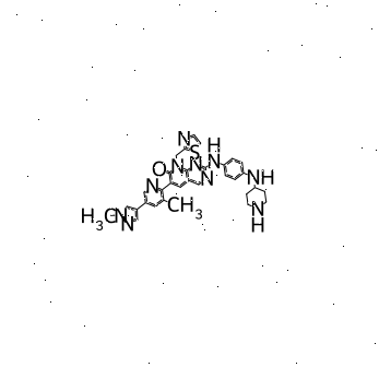 Cc1cc(-c2cnn(C)c2)cnc1-c1cc2cnc(Nc3ccc(NC4CCNCC4)cc3)nc2n(Cc2nccs2)c1=O